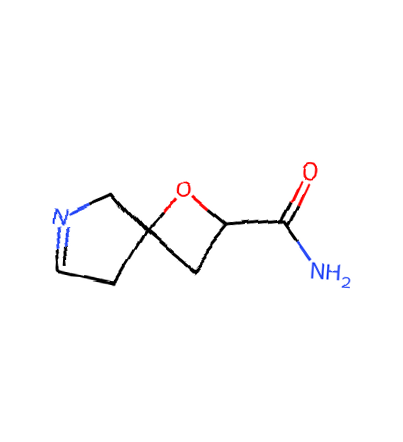 NC(=O)C1CC2(CC=NC2)O1